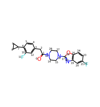 O=C(Cc1ccc(C2CC2)c(F)c1)N1CCN(c2nc3cc(F)ccc3o2)CC1